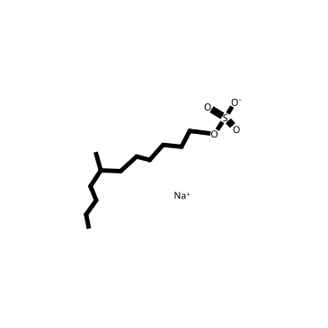 CCCCC(C)CCCCCCOS(=O)(=O)[O-].[Na+]